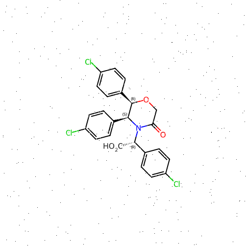 O=C(O)[C@@H](c1ccc(Cl)cc1)N1C(=O)CO[C@H](c2ccc(Cl)cc2)[C@@H]1c1ccc(Cl)cc1